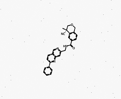 C[C@@]1(C#N)COCc2ccc(C(=O)NCc3cc4nc(-c5ccccc5)ccc4cn3)cc21